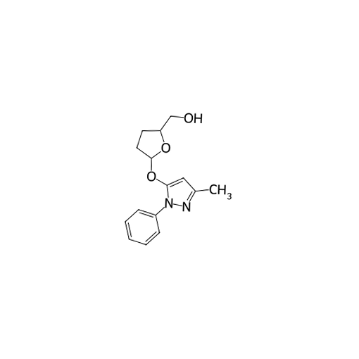 Cc1cc(OC2CCC(CO)O2)n(-c2ccccc2)n1